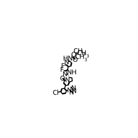 CC(C)(C)OC(=O)Nc1ccc(-c2[nH]c([C@@H]3CCc4cc(-c5cc(Cl)ccc5-n5cnnn5)cc(=O)n43)nc2F)c(F)n1